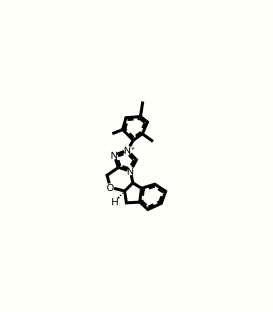 Cc1cc(C)c(-[n+]2cn3c(n2)CO[C@@H]2Cc4ccccc4C23)c(C)c1